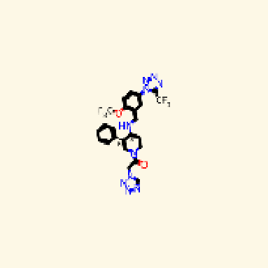 O=C(Cn1cnnn1)N1CC[C@H](NCc2cc(-n3nnnc3C(F)(F)F)ccc2OC(F)(F)F)[C@H](c2ccccc2)C1